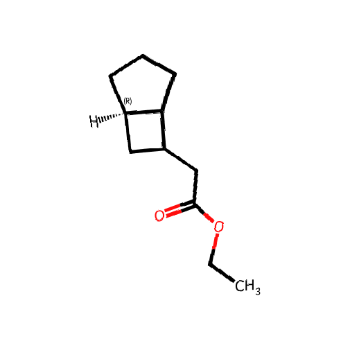 CCOC(=O)CC1C[C@H]2CCCC12